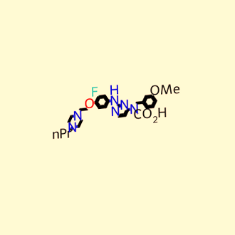 CCCN1CCN(CCOc2ccc(Nc3nccc(N(Cc4cccc(OC)c4)C(=O)O)n3)cc2F)CC1